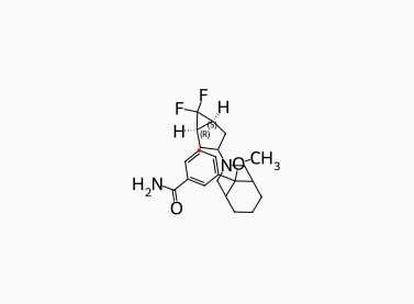 COC1(c2cccc(C(N)=O)c2)C2CCCC1CN(C1C[C@@H]3[C@H](C1)C3(F)F)C2